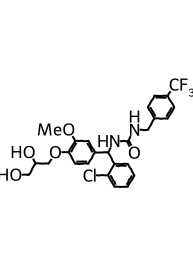 COc1cc(C(NC(=O)NCc2ccc(C(F)(F)F)cc2)c2ccccc2Cl)ccc1OCC(O)CO